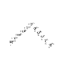 [Hf+4].[Hf+4].[O-2].[O-2].[O-2].[O-2].[O-2].[O-2].[O-2].[Y+3].[Y+3]